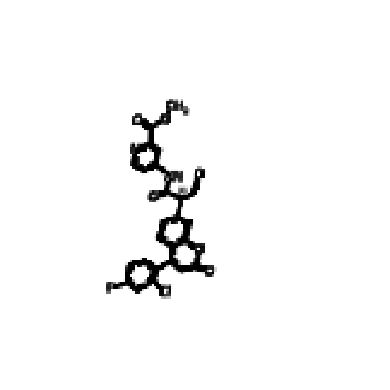 COC(=O)c1cc(NC(=O)[C@@H](C=O)c2ccc3c(-c4ccc(F)cc4Cl)cc(=O)oc3c2)ccn1